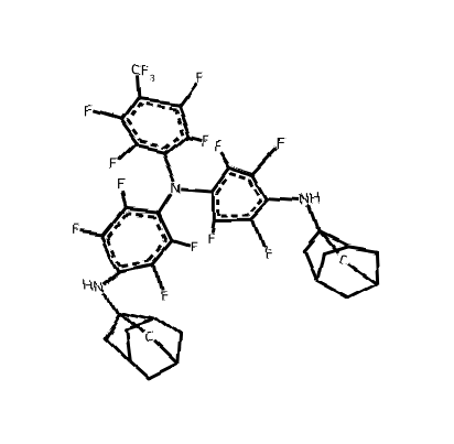 Fc1c(F)c(N(c2c(F)c(F)c(NC34CC5CC(CC3C5)C4)c(F)c2F)c2c(F)c(F)c(C(F)(F)F)c(F)c2F)c(F)c(F)c1NC12CC3CC(CC1C3)C2